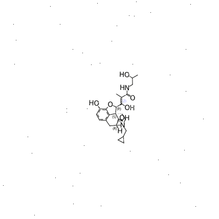 C/C(C(=O)NCC(C)O)=C(/O)[C@@H]1Oc2c(O)ccc3c2[C@@]12CCN(CC1CC1)[C@H](C3)[C@@]2(C)O